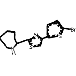 Brc1ccc(-c2csc(C3CCCCN3)n2)s1